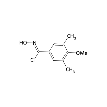 COc1c(C)cc(C(Cl)=NO)cc1C